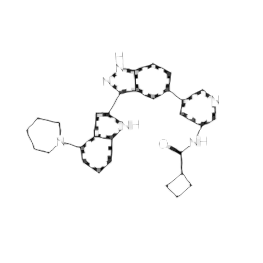 O=C(Nc1cncc(-c2ccc3[nH]nc(-c4cc5c(N6CCCCC6)cccc5[nH]4)c3c2)c1)C1CCC1